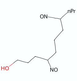 CCCC(CCCC(CCCO)N=O)N=O